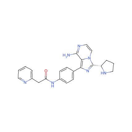 Nc1nccn2c([C@@H]3CCCN3)nc(-c3ccc(NC(=O)Cc4ccccn4)cc3)c12